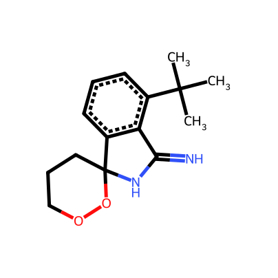 CC(C)(C)c1cccc2c1C(=N)NC21CCCOO1